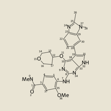 CNC(=O)c1ccc(Nc2nc(OC3CCOCC3)c3c(-c4ccc5nc(C)n(C)c5c4)c[nH]c3n2)c(OC)c1